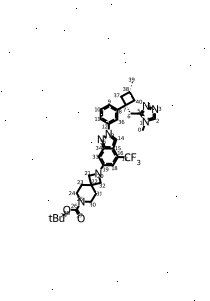 Cn1cnnc1C[C@]1(c2cccc(-n3cc4c(C(F)(F)F)cc(N5CC6(CCN(C(=O)OC(C)(C)C)CC6)C5)cc4n3)c2)C[C@H](C)C1